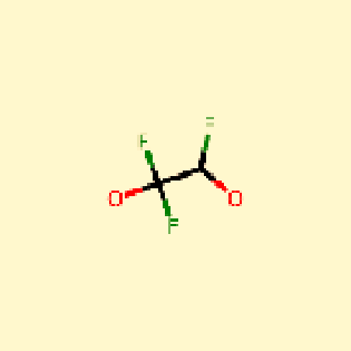 [O]C(F)C([O])(F)F